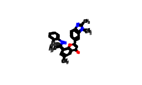 Cc1cc(C(C)Nc2ccccc2C=O)c2oc(-c3ccc4nc(C)n(C)c4c3)cc(=O)c2c1